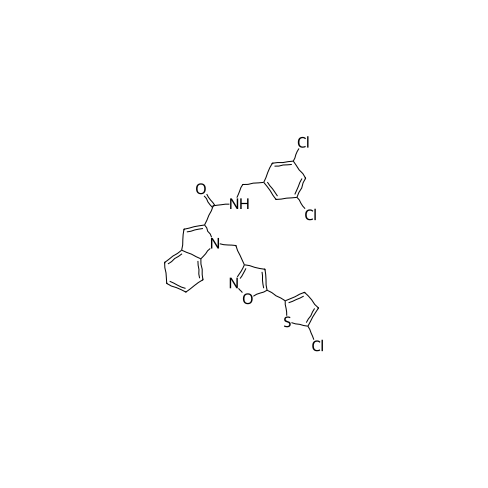 O=C(NCc1cc(Cl)cc(Cl)c1)c1cc2ccccc2n1Cc1cc(-c2ccc(Cl)s2)on1